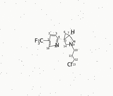 FC(F)(F)c1ccc([C@]23C[C@H]2CN(CCCCl)C3)nc1